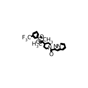 CC(C)(C1CCN(C(=O)c2cc3ccccn3n2)CC1)S(=O)(=O)c1cccc(C(F)(F)F)c1